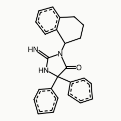 N=C1NC(c2ccccc2)(c2ccccc2)C(=O)N1C1CCCc2ccccc21